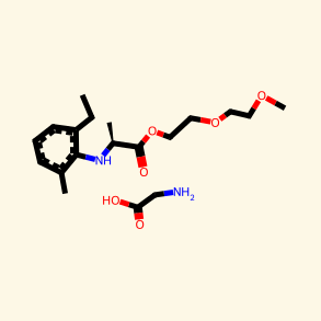 CCc1cccc(C)c1N[C@@H](C)C(=O)OCCOCCOC.NCC(=O)O